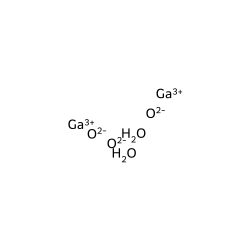 O.O.[Ga+3].[Ga+3].[O-2].[O-2].[O-2]